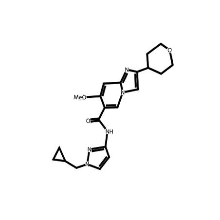 COc1cc2nc(C3CCOCC3)cn2cc1C(=O)Nc1ccn(CC2CC2)n1